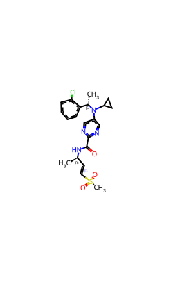 C[C@H](/C=C/S(C)(=O)=O)NC(=O)c1ncc(N(C2CC2)[C@@H](C)c2ccccc2Cl)cn1